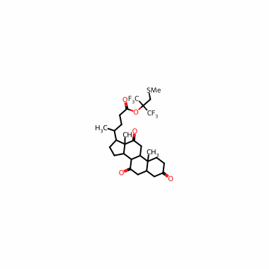 CSCC(OC(=O)CCC(C)C1CCC2C3C(=O)CC4CC(=O)CCC4(C)C3CC(=O)C12C)(C(F)(F)F)C(F)(F)F